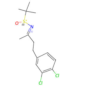 C/C(CCc1ccc(Cl)c(Cl)c1)=N\[S@+]([O-])C(C)(C)C